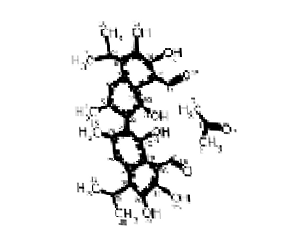 CC(C)=O.Cc1cc2c(C(C)C)c(O)c(O)c(C=O)c2c(O)c1-c1c(C)cc2c(C(C)C)c(O)c(O)c(C=O)c2c1O